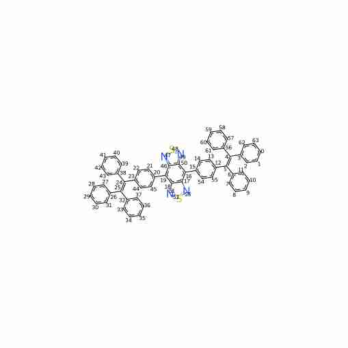 c1ccc(C(=C(c2ccccc2)c2ccc(-c3c4c(c(-c5ccc(C(=C(c6ccccc6)c6ccccc6)c6ccccc6)cc5)c5nsnc35)N=S=N4)cc2)c2ccccc2)cc1